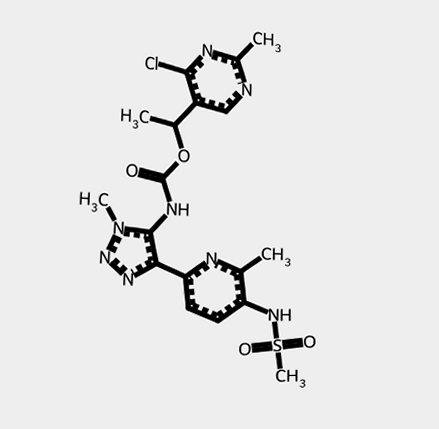 Cc1ncc(C(C)OC(=O)Nc2c(-c3ccc(NS(C)(=O)=O)c(C)n3)nnn2C)c(Cl)n1